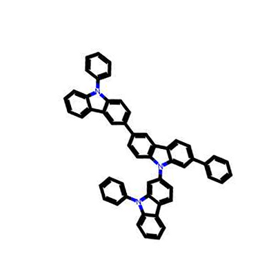 c1ccc(-c2ccc3c4cc(-c5ccc6c(c5)c5ccccc5n6-c5ccccc5)ccc4n(-c4ccc5c6ccccc6n(-c6ccccc6)c5c4)c3c2)cc1